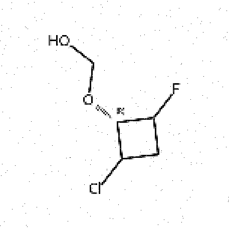 OCO[C@@H]1C(F)CC1Cl